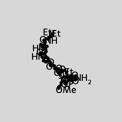 CCN(CC)CCNC(=O)c1c(C)[nH]c(/C=C2\C(=O)Nc3ccc(OC(=O)CCC(=O)OC(C)C(=O)N(CC)C4CN(CCCOC)S(=O)(=O)c5sc(S(N)(=O)=O)cc54)cc32)c1C